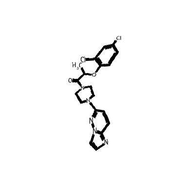 CC(Oc1ccc(Cl)cc1Cl)C(=O)N1CCN(c2ccc3nccn3n2)CC1